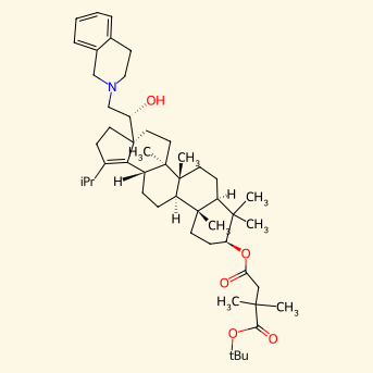 CC(C)C1=C2[C@H]3CC[C@@H]4[C@@]5(C)CC[C@H](OC(=O)CC(C)(C)C(=O)OC(C)(C)C)C(C)(C)[C@@H]5CC[C@@]4(C)[C@]3(C)CC[C@@]2([C@@H](O)CN2CCc3ccccc3C2)CC1